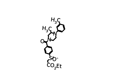 CCOC(=O)C[S+]([O-])c1ccc(C(=O)N2CCN(c3cccc(C)c3)C(C)C2)cc1